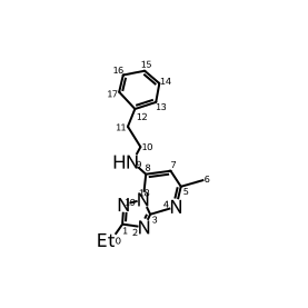 CCc1nc2nc(C)cc(NCCc3ccccc3)n2n1